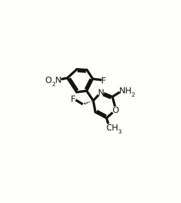 CC1=C[C@@](CF)(c2cc([N+](=O)[O-])ccc2F)N=C(N)O1